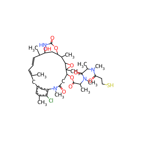 C/C1=C\C=C\C(C)C2(O)CC(OC(=O)N2)C(C)C2OC2(C)C(OC(=O)C(C)N(C)C(=O)C(C)N(C)C(=O)CCS)CC(=O)N(C)c2cc(cc(C)c2Cl)C1